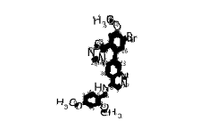 COc1ccc(CNc2cnnc3cc(-c4cc(Br)c(OC)cc4-c4ncns4)ccc23)c(OC)c1